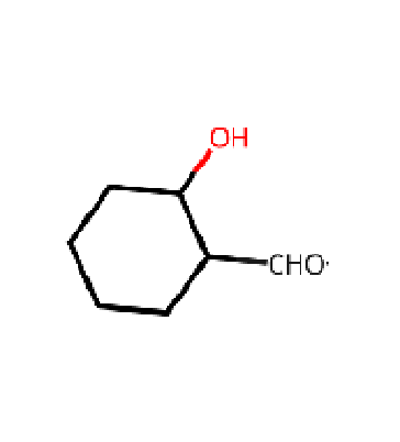 O=[C]C1CCCCC1O